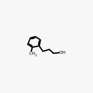 Cc1ccccc1CC[CH]O